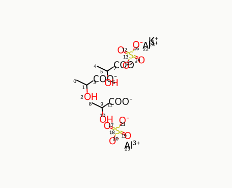 CC(O)C(=O)[O-].CC(O)C(=O)[O-].CC(O)C(=O)[O-].O=S(=O)([O-])[O-].O=S(=O)([O-])[O-].[Al+3].[Al+3].[K+]